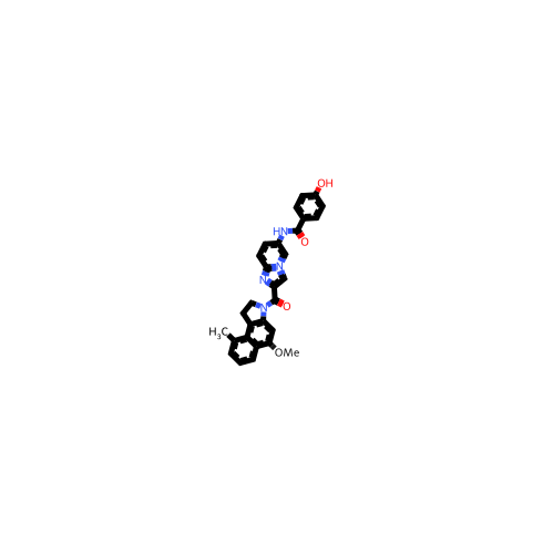 COc1cc2c(c3c(C)cccc13)CCN2C(=O)c1cn2cc(NC(=O)c3ccc(O)cc3)ccc2n1